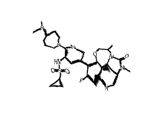 CC1COc2c(-c3cnc(N4CCC(N(C)C)CC4)c(NS(=O)(=O)C4CC4)c3)c(F)cc3ncc4c(c23)n1c(=O)n4C